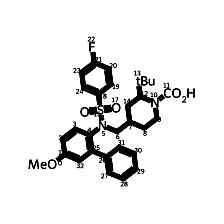 COc1ccc(N(CC2CCN(C(=O)O)C(C(C)(C)C)C2)S(=O)(=O)c2ccc(F)cc2)c(-c2ccccc2)c1